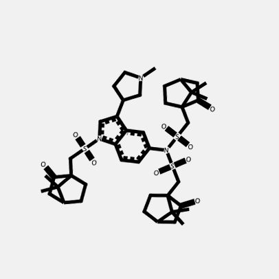 CN1CCC(c2cn(S(=O)(=O)CC34CCC(CC3=O)C4(C)C)c3ccc(N(S(=O)(=O)CC45CCC(CC4=O)C5(C)C)S(=O)(=O)CC45CCC(CC4=O)C5(C)C)cc23)C1